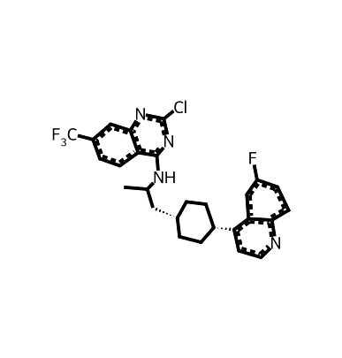 CC(C[C@H]1CC[C@@H](c2ccnc3ccc(F)cc32)CC1)Nc1nc(Cl)nc2cc(C(F)(F)F)ccc12